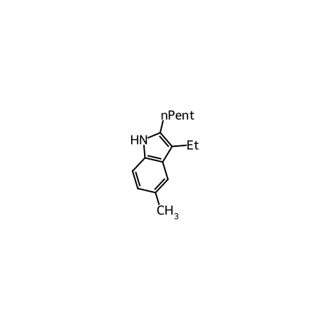 CCCCCc1[nH]c2ccc(C)cc2c1CC